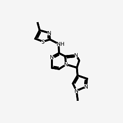 Cc1csc(NC2=NC=CN3C2=NCC3c2cnn(C)c2)n1